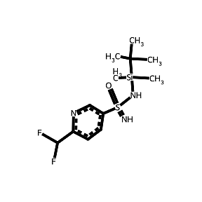 CC(C)(C)[Si](C)(C)NS(=N)(=O)c1ccc(C(F)F)nc1